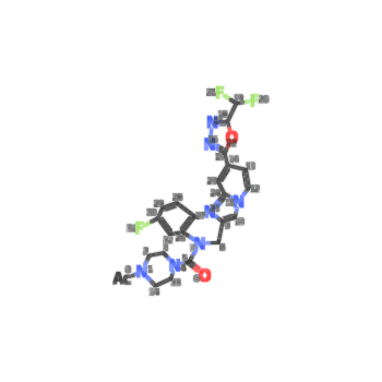 CC(=O)N1CCN(C(=O)N(Cc2cn3ccc(-c4nnc(C(F)F)o4)cc3n2)c2cccc(F)c2)CC1